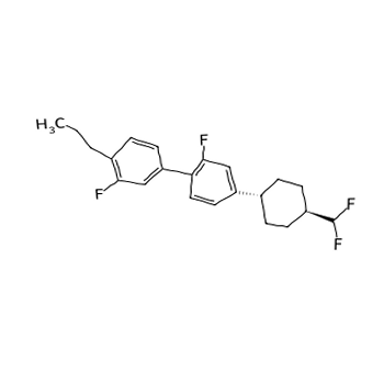 CCCc1ccc(-c2ccc([C@H]3CC[C@H](C(F)F)CC3)cc2F)cc1F